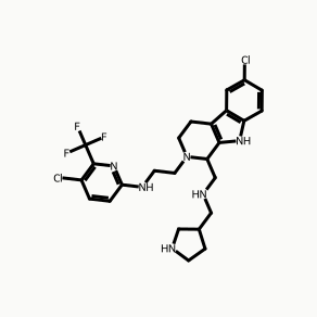 FC(F)(F)c1nc(NCCN2CCc3c([nH]c4ccc(Cl)cc34)C2CNCC2CCNC2)ccc1Cl